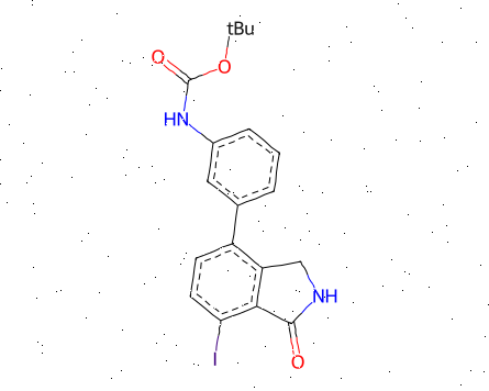 CC(C)(C)OC(=O)Nc1cccc(-c2ccc(I)c3c2CNC3=O)c1